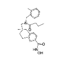 CCCC(=O)N(Cc1ccccc1C)CC1(C)CCc2cc(C(=O)NO)ccc2C1